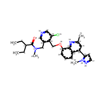 CCC(CC)C(=O)N(C)Cc1cncc(Cl)c1COc1cccc2c(-c3ccnn3C)cc(C)nc12